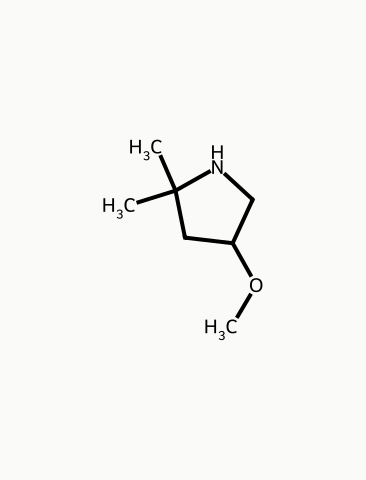 COC1CNC(C)(C)C1